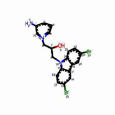 Nc1ccc[n+](CC(O)Cn2c3ccc(Br)cc3c3cc(Br)ccc32)c1